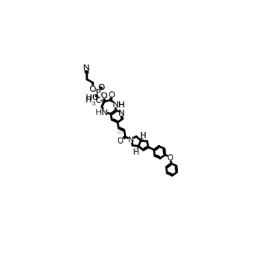 C[C@@]1(OP(=O)(O)OCCC#N)CNc2cc(/C=C/C(=O)N3C[C@H]4CC(c5ccc(Oc6ccccc6)cc5)=C[C@H]4C3)cnc2NC1=O